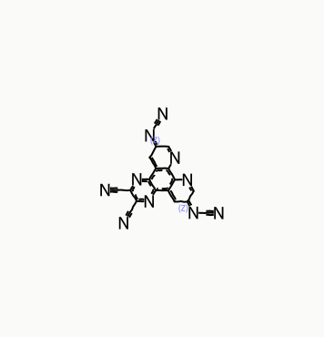 N#C/N=C1\C=Nc2c3c(c4nc(C#N)c(C#N)nc4c2=C1)=C/C(=N/C#N)C=N3